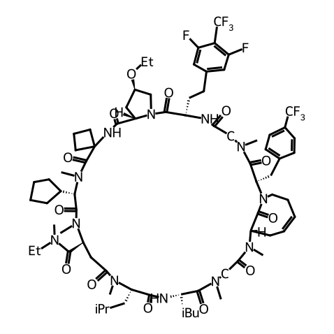 CCO[C@@H]1C[C@H]2C(=O)NC3(CCC3)C(=O)N(C)[C@@H](C3CCCC3)C(=O)N(C)[C@H](C(=O)N(C)CC)CC(=O)N(C)[C@@H](CC(C)C)C(=O)N[C@@H]([C@@H](C)CC)C(=O)N(C)CC(=O)N(C)[C@H]3C/C=C\CCN(C3=O)[C@@H](Cc3ccc(C(F)(F)F)cc3)C(=O)N(C)CC(=O)N[C@@H](CCc3cc(F)c(C(F)(F)F)c(F)c3)C(=O)N2C1